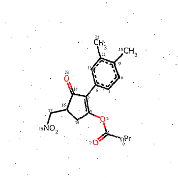 CCCC(=O)OC1=C(c2ccc(C)c(C)c2)C(=O)C(C[N+](=O)[O-])C1